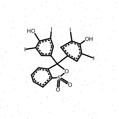 O=S1(=O)OC(c2cc(I)c(O)c(I)c2)(c2cc(I)c(O)c(I)c2)c2ccccc21